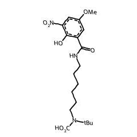 COc1cc(C(=O)NCCCCCCN(C(=O)O)C(C)(C)C)c(O)c([N+](=O)[O-])c1